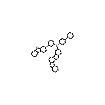 c1ccc(-c2ccc(N(c3cccc(-c4ccc5c(c4)sc4ccccc45)c3)c3ccc4sc5c(ccc6sc7ccccc7c65)c4c3)cc2)cc1